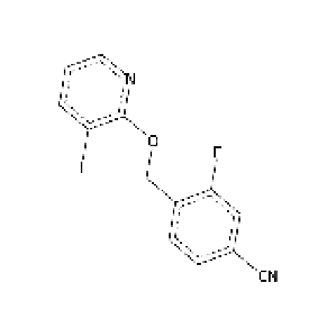 N#Cc1ccc(COc2ncccc2I)c(F)c1